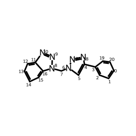 c1ccc(-c2cn(Cn3nnc4ccccc43)nn2)cc1